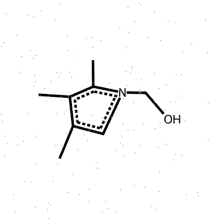 Cc1cn(CO)c(C)c1C